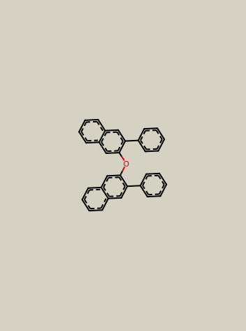 c1ccc(-c2cc3ccccc3cc2Oc2cc3ccccc3cc2-c2ccccc2)cc1